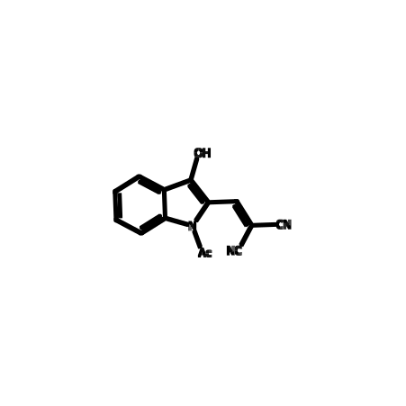 CC(=O)n1c(C=C(C#N)C#N)c(O)c2ccccc21